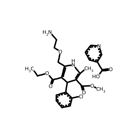 CCOC(=O)C1=C(COCCN)NC(C)=C(C(=O)OC)C1c1ccccc1Cl.O=C(O)c1cccnc1